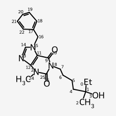 CCC(C)(O)CCCCn1c(=O)c2c(ncn2Cc2ccccc2)n(C)c1=O